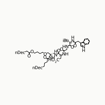 CCCCCCCCCCCCCC(=O)N[C@@H](CNC(=O)[C@H](CC(=O)O)NC(=O)CNC(=O)[C@@H](NC(=O)Cc1c[nH]c2ccccc12)[C@@H](C)CC)COCCCCOC(=O)CCCCCCCCCCC